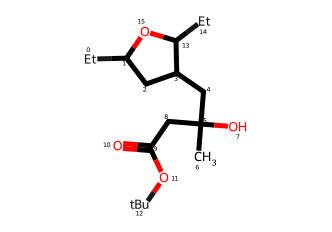 CCC1CC(CC(C)(O)CC(=O)OC(C)(C)C)C(CC)O1